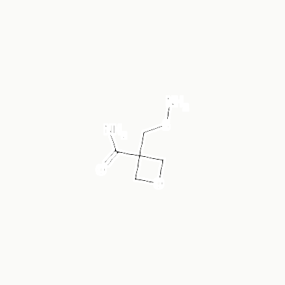 NSCC1(C(N)=O)COC1